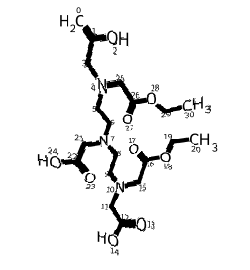 C=C(O)CN(CCN(CCN(CC(=O)O)CC(=O)OCC)CC(=O)O)CC(=O)OCC